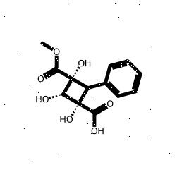 COC(=O)[C@@]1(O)C(c2ccccc2)[C@@](O)(C(=O)O)[C@@H]1O